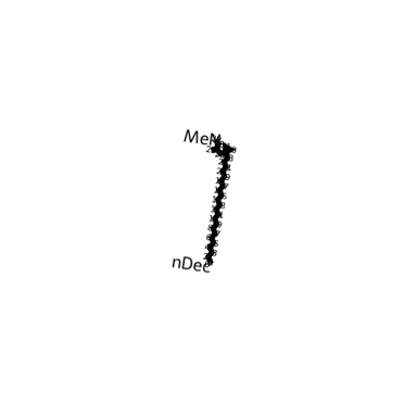 CCCCCCCCCCCCCCCCCCCCCCCCCCCCCCCCCC1(CC(C)CNC)CC1